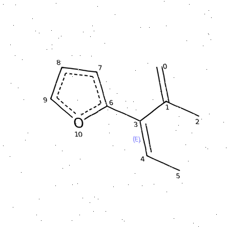 C=C(C)/C(=C\C)c1ccco1